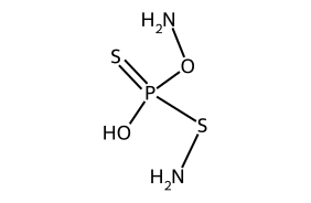 NOP(O)(=S)SN